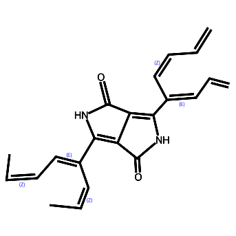 C=C/C=C\C(=C/C=C)C1=C2C(=O)NC(C(/C=C\C)=C/C=C\C)=C2C(=O)N1